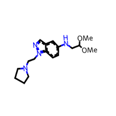 COC(CNc1ccc2c(cnn2CCN2CCCC2)c1)OC